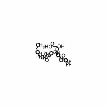 CCCc1ccc(CN2CCN(C(=O)c3cc4cc(Oc5ccc(N(C)C(=O)c6ccc(C(F)(F)F)cc6)cn5)ccc4n3C)CC2)cc1.O=C(O)C=CC(=O)O